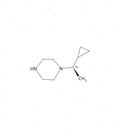 C[C@H](C1CC1)N1CCNCC1